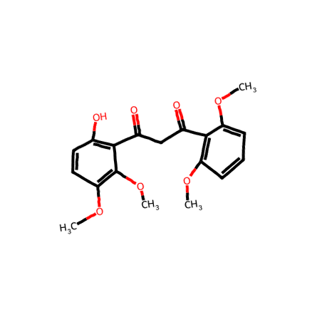 COc1ccc(O)c(C(=O)CC(=O)c2c(OC)cccc2OC)c1OC